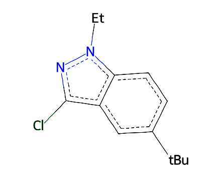 CCn1nc(Cl)c2cc(C(C)(C)C)ccc21